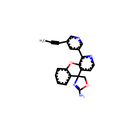 CC#Cc1cncc(-c2nccc3c2Oc2ccccc2C32COC(N)=N2)c1